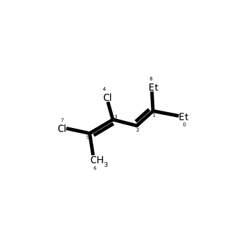 CCC(=C/C(Cl)=C(\C)Cl)CC